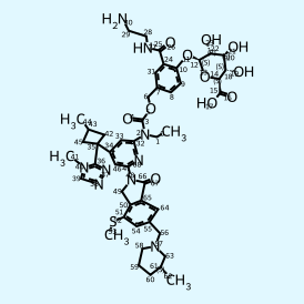 CCN(C(=O)OCc1ccc(O[C@@H]2O[C@H](C(=O)O)[C@@H](O)[C@H](O)[C@H]2O)c(C(=O)NCCN)c1)c1cc(C2(c3nncn3C)CC(C)C2)cc(N2Cc3c(SC)cc(CN4CCC[C@H](C)C4)cc3C2=O)n1